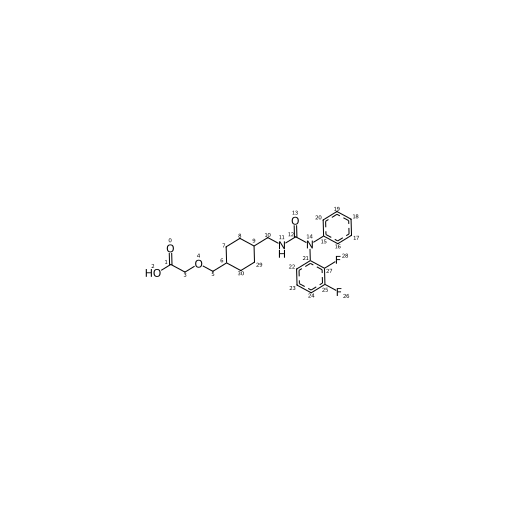 O=C(O)COCC1CCC(CNC(=O)N(c2ccccc2)c2cccc(F)c2F)CC1